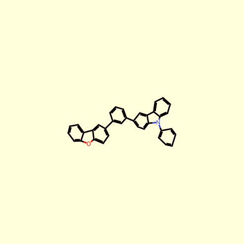 c1ccc(-n2c3ccccc3c3cc(-c4cccc(-c5ccc6oc7ccccc7c6c5)c4)ccc32)cc1